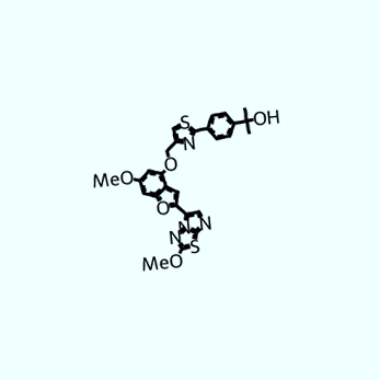 COc1cc(OCc2csc(-c3ccc(C(C)(C)O)cc3)n2)c2cc(-c3cnc4sc(OC)nn34)oc2c1